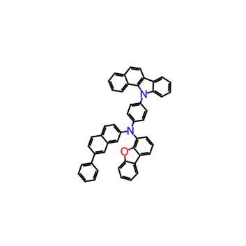 c1ccc(-c2ccc3ccc(N(c4ccc(-n5c6ccccc6c6ccc7ccccc7c65)cc4)c4cccc5c4oc4ccccc45)cc3c2)cc1